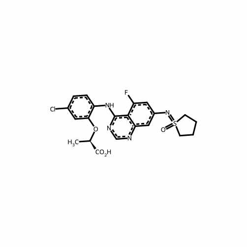 C[C@@H](Oc1cc(Cl)ccc1Nc1ncnc2cc(N=S3(=O)CCCC3)cc(F)c12)C(=O)O